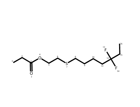 CCC(=O)OCCSCCCCC(F)(F)CC